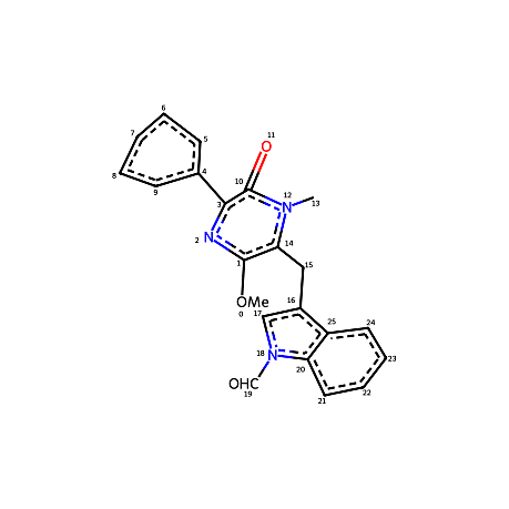 COc1nc(-c2ccccc2)c(=O)n(C)c1Cc1cn(C=O)c2ccccc12